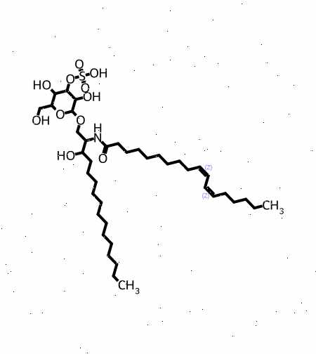 CCCCC/C=C\C=C/CCCCCCCCC(=O)NC(COC1OC(CO)C(O)C(OS(=O)(=O)O)C1O)C(O)CCCCCCCCCCCCC